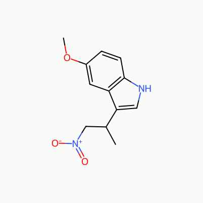 COc1ccc2[nH]cc(C(C)C[N+](=O)[O-])c2c1